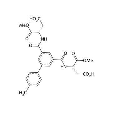 COC(=O)[C@H](CC(=O)O)NC(=O)c1cc(C(=O)N[C@@H](CC(=O)O)C(=O)OC)cc(-c2ccc(C)cc2)c1